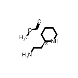 COC=O.NCC[C@H]1CCCCN1